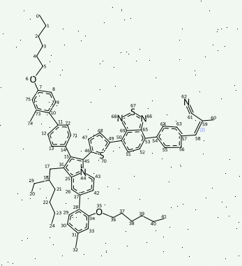 CCCCCCOc1ccc(-c2ccc(-c3c(CC(CC)CCCC)c4cc(-c5ccc(C)cc5OCCCCCC)ccn4c3-c3ccc(-c4ccc(-c5ccc(/C=C(/C)C#N)cc5)c5nsnc45)s3)cc2)c(C)c1